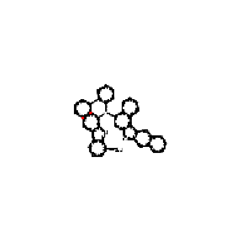 CC(C)(C)c1cccc2c1oc1c(N(c3ccccc3-c3ccccc3)c3cc4oc5cc6ccccc6cc5c4c4ccccc34)cccc12